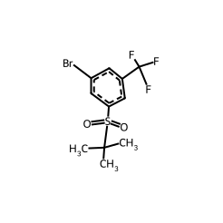 CC(C)(C)S(=O)(=O)c1cc(Br)cc(C(F)(F)F)c1